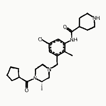 Cc1c(CN2CCN(C(=O)C3CCCC3)[C@@H](C)C2)cc(Cl)cc1NC(=O)C1CCNCC1